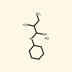 CCC(N)[CH](O)[Al][CH]1CCCCC1.Cl